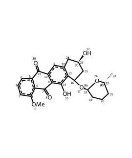 COc1cccc2c1C(=O)c1c(cc3c(c1O)C(O[C@@H]1CCC[C@@H](C)O1)C[C@H](O)C3)C2=O